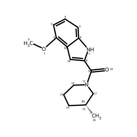 COc1cccc2[nH]c(C(=O)N3CCC[C@@H](C)C3)cc12